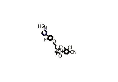 C\C=C/C(=C\C=N\O)c1ccc(OCCCN2C(=O)N(c3ccc(C#N)c(Cl)c3C)C(=O)C2(C)C)cc1F